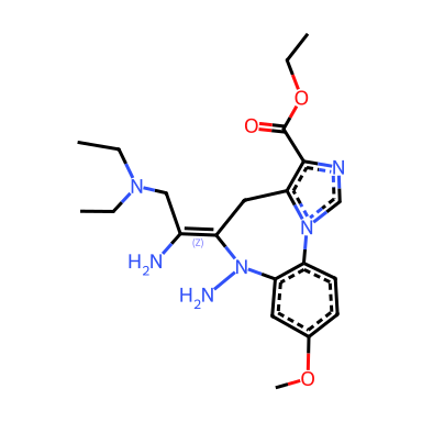 CCOC(=O)c1ncn2c1C/C(=C(/N)CN(CC)CC)N(N)c1cc(OC)ccc1-2